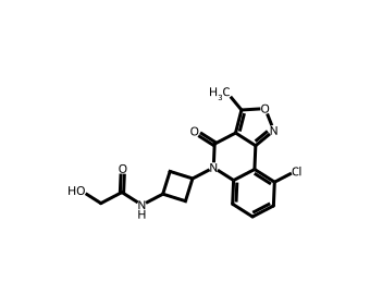 Cc1onc2c1c(=O)n(C1CC(NC(=O)CO)C1)c1cccc(Cl)c21